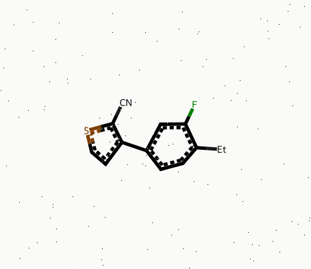 CCc1ccc(-c2ccsc2C#N)cc1F